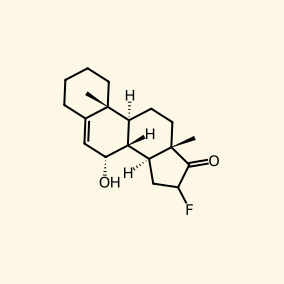 C[C@]12CCCCC1=C[C@@H](O)[C@@H]1[C@@H]2CC[C@]2(C)C(=O)C(F)C[C@@H]12